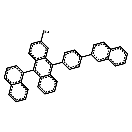 CC(C)(C)c1ccc2c(-c3cccc4ccccc34)c3ccccc3c(-c3ccc(-c4ccc5ccccc5c4)cc3)c2c1